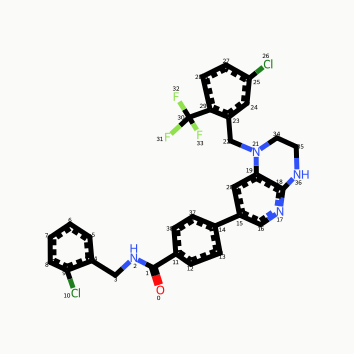 O=C(NCc1ccccc1Cl)c1ccc(-c2cnc3c(c2)N(Cc2cc(Cl)ccc2C(F)(F)F)CCN3)cc1